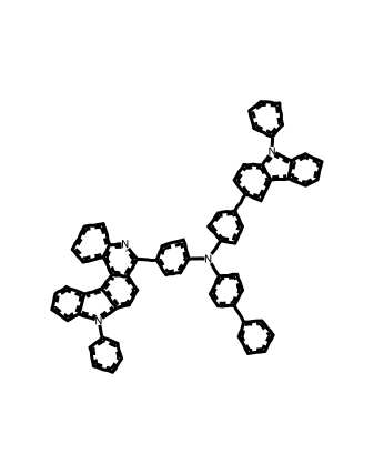 c1ccc(-c2ccc(N(c3ccc(-c4ccc5c(c4)c4ccccc4n5-c4ccccc4)cc3)c3ccc(-c4nc5ccccc5c5c4ccc4c5c5ccccc5n4-c4ccccc4)cc3)cc2)cc1